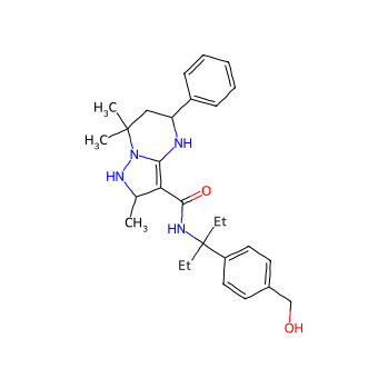 CCC(CC)(NC(=O)C1=C2NC(c3ccccc3)CC(C)(C)N2NC1C)c1ccc(CO)cc1